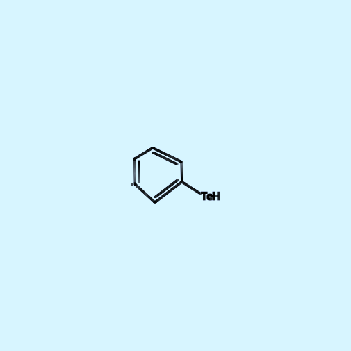 [TeH]c1c[c]ccc1